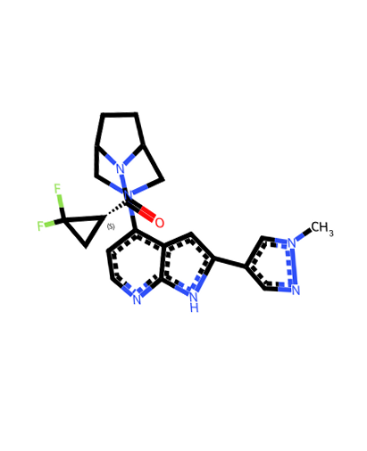 Cn1cc(-c2cc3c(N4CC5CCC(C4)N5C(=O)[C@@H]4CC4(F)F)ccnc3[nH]2)cn1